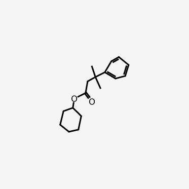 CC(C)(CC(=O)OC1CCCCC1)c1ccccc1